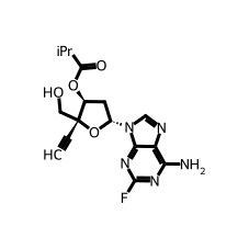 C#C[C@]1(CO)O[C@@H](n2cnc3c(N)nc(F)nc32)C[C@@H]1OC(=O)C(C)C